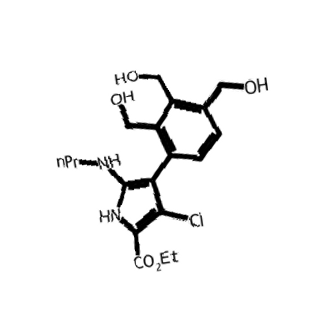 CCCNc1[nH]c(C(=O)OCC)c(Cl)c1-c1ccc(CO)c(CO)c1CO